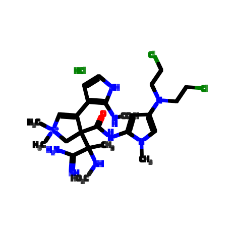 Cl.Cn1cc(N(CCCl)CCCl)cc1NC(=O)C1(C(C)(NC(=O)O)C(=N)N)C[N+](C)(C)C=C1c1cc[nH]c1NC(=O)O